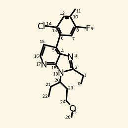 CCc1nc2c(-c3cc(F)c(C)cc3Cl)ccnc2n1C(CC)CCOC